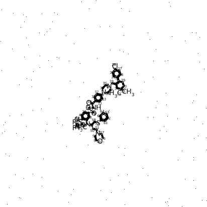 CN(c1cc(S(=O)(=O)NC(=O)c2ccc(N3CCN(CC4=C(c5ccc(Cl)cc5)CCC(C)(C)C4)CC3)cc2)ccc1S(=O)(=O)C(F)(F)F)[C@H](CCN1CCOCC1)CSc1ccccc1